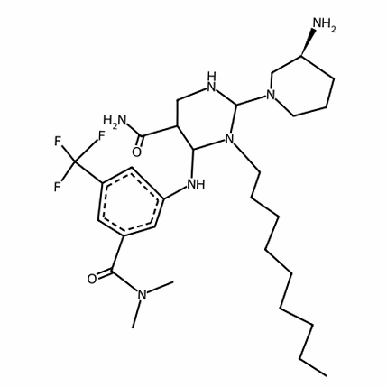 CCCCCCCCCN1C(Nc2cc(C(=O)N(C)C)cc(C(F)(F)F)c2)C(C(N)=O)CNC1N1CCC[C@H](N)C1